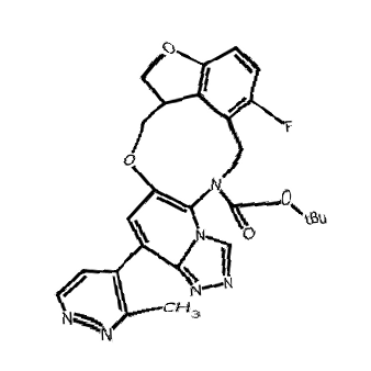 Cc1nnccc1-c1cc2c(n3cnnc13)N(C(=O)OC(C)(C)C)Cc1c(F)ccc3c1C(CO3)CO2